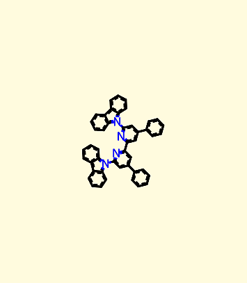 c1ccc(-c2cc(-c3cc(-c4ccccc4)cc(-n4c5ccccc5c5ccccc54)n3)nc(-n3c4ccccc4c4ccccc43)c2)cc1